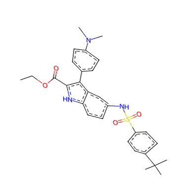 CCOC(=O)c1[nH]c2ccc(NS(=O)(=O)c3ccc(C(C)(C)C)cc3)cc2c1-c1ccc(N(C)C)cc1